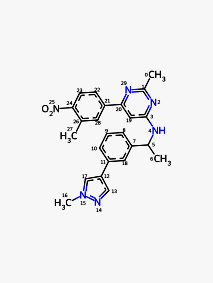 Cc1nc(NC(C)c2cccc(-c3cnn(C)c3)c2)cc(-c2ccc([N+](=O)[O-])c(C)c2)n1